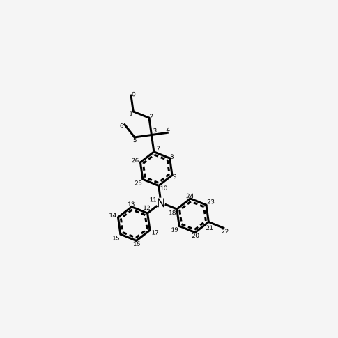 CCCC(C)(CC)c1ccc(N(c2ccccc2)c2ccc(C)cc2)cc1